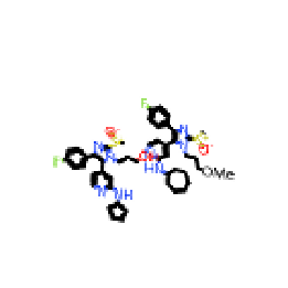 COCCCn1c([S+](C)[O-])nc(-c2ccc(F)cc2)c1-c1ccnc(NC2CCCCCC2)c1.C[S+]([O-])c1nc(-c2ccc(F)cc2)c(-c2ccnc(NC3CCCC3)c2)n1CCCO